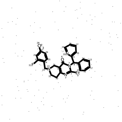 CCc1nc2c(c(=O)n1C(c1ccccc1)c1ccccn1)CN(Cc1ccc(C(F)(F)F)cc1F)CC2